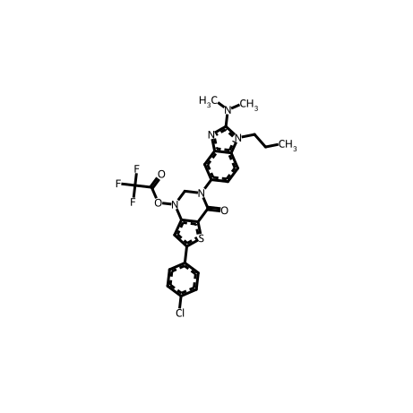 CCCn1c(N(C)C)nc2cc(N3CN(OC(=O)C(F)(F)F)c4cc(-c5ccc(Cl)cc5)sc4C3=O)ccc21